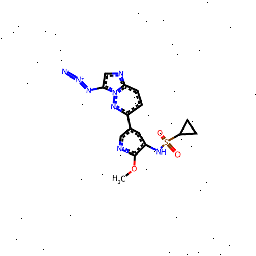 COc1ncc(-c2ccc3ncc(N=[N+]=[N-])n3n2)cc1NS(=O)(=O)C1CC1